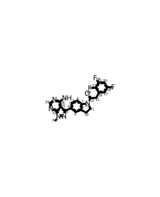 Cn1nc(-c2ccc3c(c2)CCN3C(=O)Cc2cc(F)cc(F)c2F)c2c(N)ncnc21